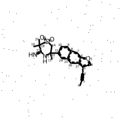 CC#Cc1coc2cc3ccc(C4(C)CS(=O)(=O)C(C)(C)C(=N)N4)cc3cc12